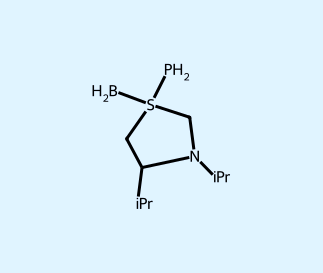 BS1(P)CC(C(C)C)N(C(C)C)C1